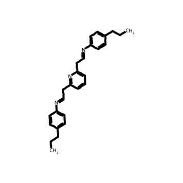 CCCc1ccc(N=CCc2cccc(CC=Nc3ccc(CCC)cc3)n2)cc1